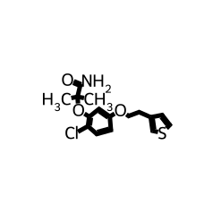 CC(C)(Oc1cc(OCCc2ccsc2)ccc1Cl)C(N)=O